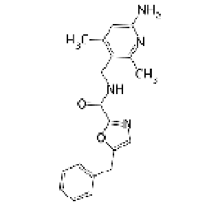 Cc1cc(N)nc(C)c1CNC(=O)c1ncc(Cc2ccccc2)o1